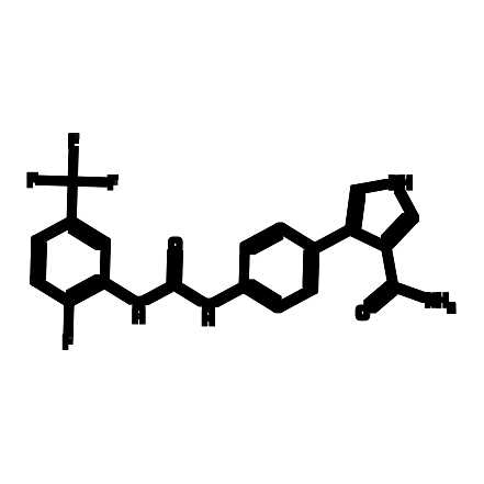 NC(=O)c1c[nH]cc1-c1ccc(NC(=O)Nc2cc(C(F)(F)F)ccc2F)cc1